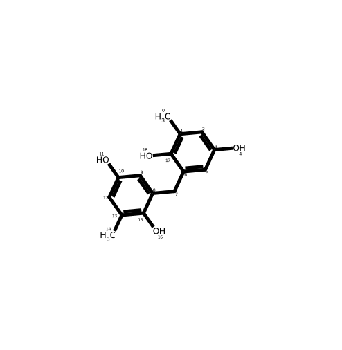 Cc1cc(O)cc(Cc2cc(O)cc(C)c2O)c1O